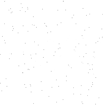 C=CCc1cc(Cn2c(CC)nc3c(C)cc(C)nc32)ccc1OCc1ccc(C(=O)O)cc1